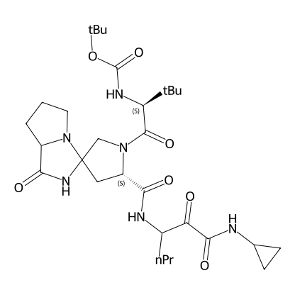 CCCC(NC(=O)[C@@H]1CC2(CN1C(=O)[C@@H](NC(=O)OC(C)(C)C)C(C)(C)C)NC(=O)C1CCCN12)C(=O)C(=O)NC1CC1